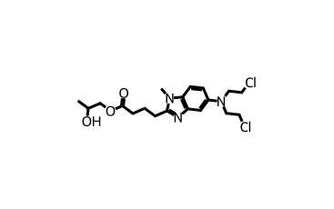 CC(O)COC(=O)CCCc1nc2cc(N(CCCl)CCCl)ccc2n1C